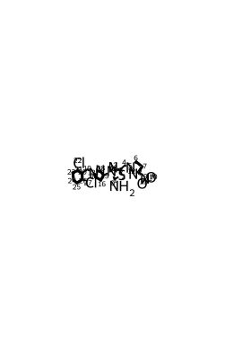 NC1SC(Cn2ccc([N+](=O)[O-])n2)=NN1c1ccn(Cc2c(Cl)cccc2Cl)n1